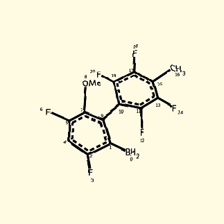 Bc1c(F)cc(F)c(OC)c1-c1c(F)c(F)c(C)c(F)c1F